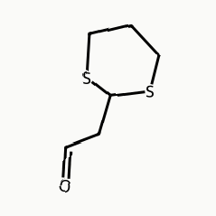 O=CCC1SCCCS1